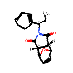 CC(=O)OC[C@H](c1ccccc1)N1C(=O)[C@@H]2C3C=CC(O3)[C@@H]2C1=O